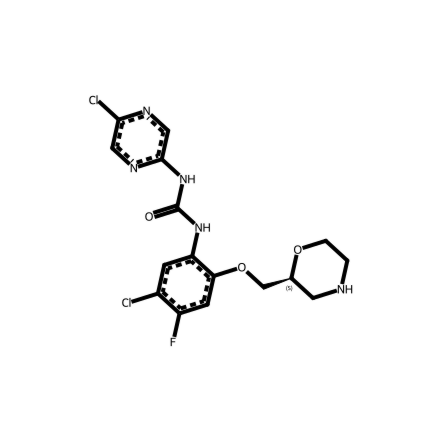 O=C(Nc1cnc(Cl)cn1)Nc1cc(Cl)c(F)cc1OC[C@@H]1CNCCO1